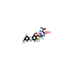 CCOC1=N[C@@H](C(C)C)C(O)=N[C@]1(C)CCc1ccc(Sc2cccc(C)c2)cc1Cl